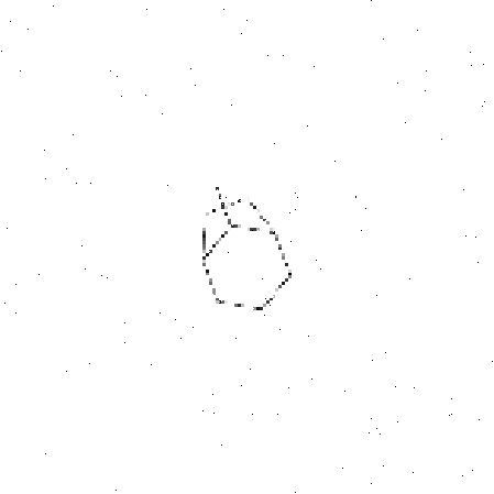 CC1C2CCCC1CC2